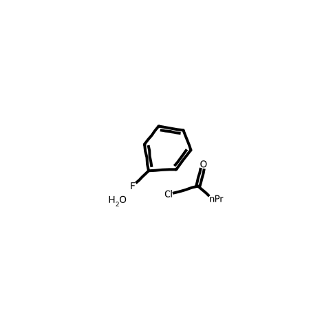 CCCC(=O)Cl.Fc1ccccc1.O